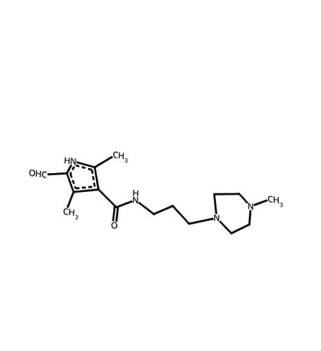 Cc1[nH]c(C=O)c(C)c1C(=O)NCCCN1CCN(C)CC1